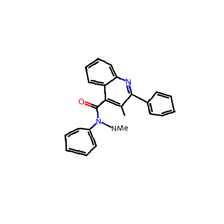 CNN(C(=O)c1c(C)c(-c2ccccc2)nc2ccccc12)c1ccccc1